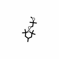 COC(C)(C)CON1C(C)(C)CC(C)CC1(C)C